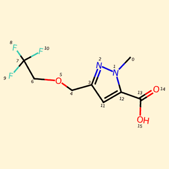 Cn1nc(COCC(F)(F)F)cc1C(=O)O